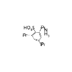 CC(C)c1cc(C(C)C)c(S(=O)(=O)O)c(C(C)C)c1.N